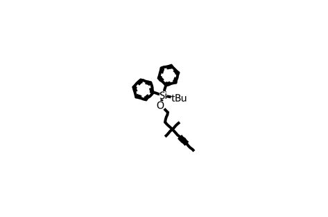 CC#CC(C)(C)CCO[Si](c1ccccc1)(c1ccccc1)C(C)(C)C